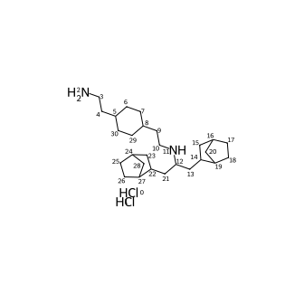 Cl.Cl.NCCC1CCC(CCNC(CC2CC3CCC2C3)CC2CC3CCC2C3)CC1